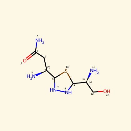 NC(=O)C[C@H](N)C1NNC([C@@H](N)CO)S1